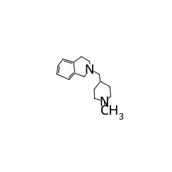 CN1CCC(CN2CCc3ccccc3C2)CC1